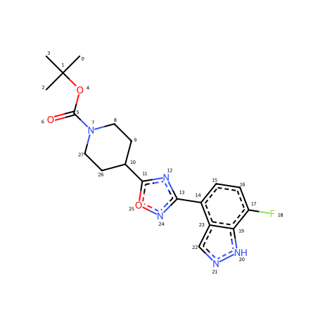 CC(C)(C)OC(=O)N1CCC(c2nc(-c3ccc(F)c4[nH]ncc34)no2)CC1